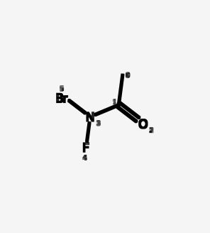 CC(=O)N(F)Br